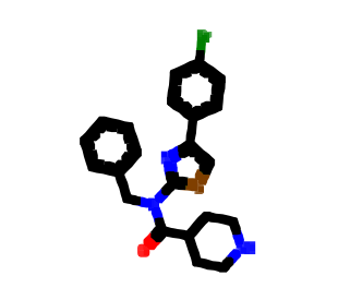 O=C(C1CCNCC1)N(Cc1ccccc1)c1nc(-c2ccc(Br)cc2)cs1